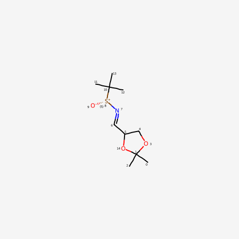 CC1(C)OCC(C=N[S@+]([O-])C(C)(C)C)O1